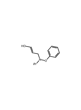 CC(C)N(CC=CO)Oc1ccccc1